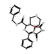 O=C1CS(=C(OC(C(=O)OCc2ccccc2)C2COCCN2)c2ccccc2)C(=O)N1